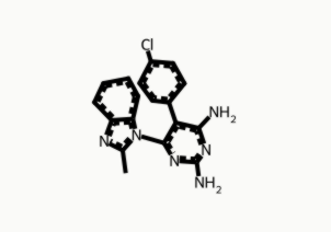 Cc1nc2ccccc2n1-c1nc(N)nc(N)c1-c1ccc(Cl)cc1